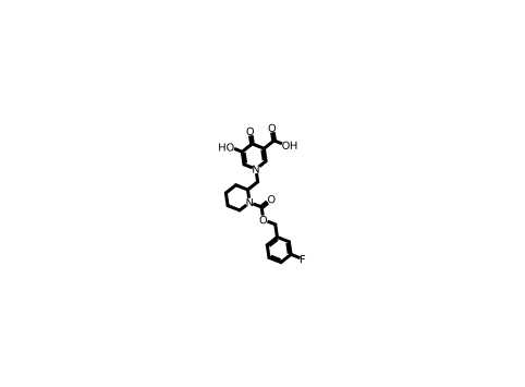 O=C(O)c1cn(CC2CCCCN2C(=O)OCc2cccc(F)c2)cc(O)c1=O